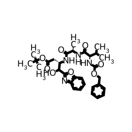 CC(C)[C@H](NC(=O)OCc1ccccc1)C(=O)N[C@@H](C)C(=O)N[C@@H](CC(=O)OC(C)(C)C)C(O)c1nc2ccccc2o1